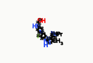 Cc1cnc(Nc2ccc(N3CCC(NCCO)CC3)c(F)c2)nc1-c1cnn(C(C)C)c1